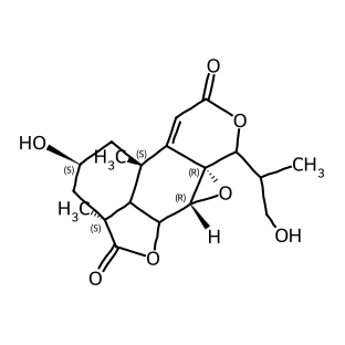 CC(CO)C1OC(=O)C=C2[C@@]13O[C@@H]3C1OC(=O)[C@@]3(C)C[C@@H](O)C[C@@]2(C)C13